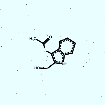 CC(=O)Oc1c(CO)[nH]c2ccccc12